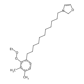 CCOOc1c(CCCCCCCCCCCN2C=COC2)ccc(C)c1C